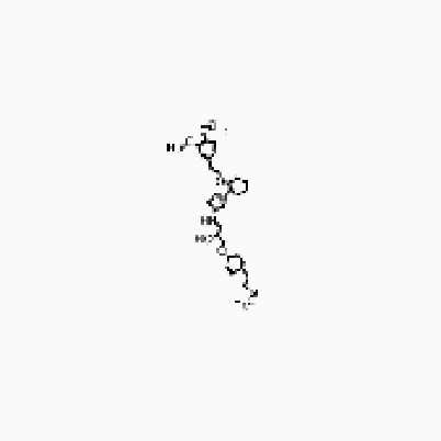 COCCc1ccc(OCC(O)CN[C@@H]2CCN([C@@H]3CCCC[C@H]3OCCc3ccc(OC)c(OC)c3)C2)cc1